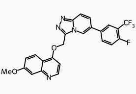 COc1ccc2c(OCc3nnc4ccc(-c5ccc(F)c(C(F)(F)F)c5)cn34)ccnc2c1